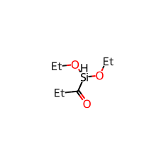 CCO[SiH](OCC)C(=O)CC